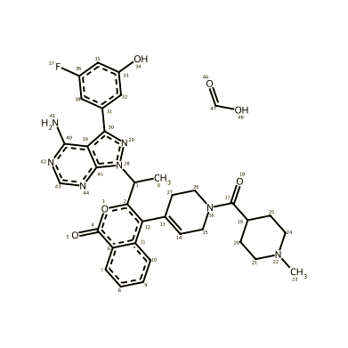 CC(c1oc(=O)c2ccccc2c1C1=CCN(C(=O)C2CCN(C)CC2)CC1)n1nc(-c2cc(O)cc(F)c2)c2c(N)ncnc21.O=CO